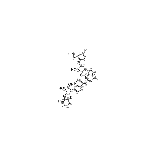 C/N=C/c1cc(F)ccc1OC1CC(n2ccc3c(C)nc(Cc4ncnc5c4ccn5C4CC(Oc5c(F)cccc5F)[C@@H](O)[C@H]4O)nc32)[C@H](O)[C@@H]1O